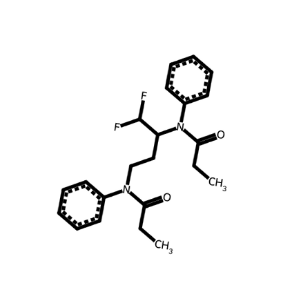 CCC(=O)N(CCC(C(F)F)N(C(=O)CC)c1ccccc1)c1ccccc1